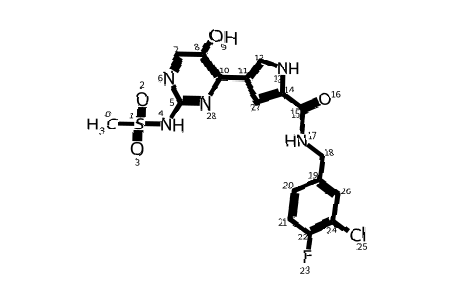 CS(=O)(=O)Nc1ncc(O)c(-c2c[nH]c(C(=O)NCc3ccc(F)c(Cl)c3)c2)n1